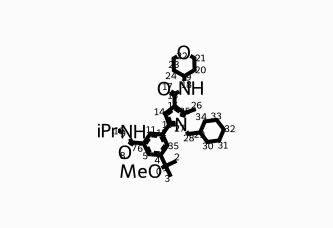 COC(C)(C)c1cc(C(=O)NC(C)C)cc(-c2cc(C(=O)NC3CCOCC3)c(C)n2CC2CCCCC2)c1